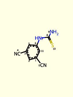 N#Cc1cc(C#N)cc(NC(N)=S)c1